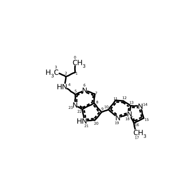 CCC(C)Nc1ncc2c(-c3ccc4ncc(C)n4n3)c[nH]c2n1